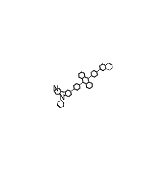 C1=CCC(n2c3ccncc3c3cc(-c4ccc(-c5c6ccccc6c(-c6ccc(-c7ccc8c(c7)CCC=C8)cc6)c6ccccc56)cc4)ccc32)C=C1